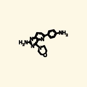 Nc1ccc(-c2ccc3nc(N)nc(N4CCOCC4)c3n2)cc1